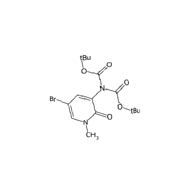 Cn1cc(Br)cc(N(C(=O)OC(C)(C)C)C(=O)OC(C)(C)C)c1=O